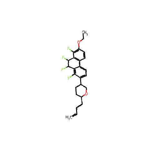 C=CCCC1CCC(c2ccc3c(c2F)C(F)C(F)c2c-3ccc(OCC)c2F)CO1